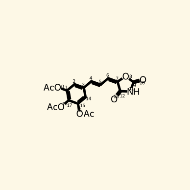 CC(=O)Oc1cc(C=CC=C2OC(=O)NC2=O)cc(OC(C)=O)c1OC(C)=O